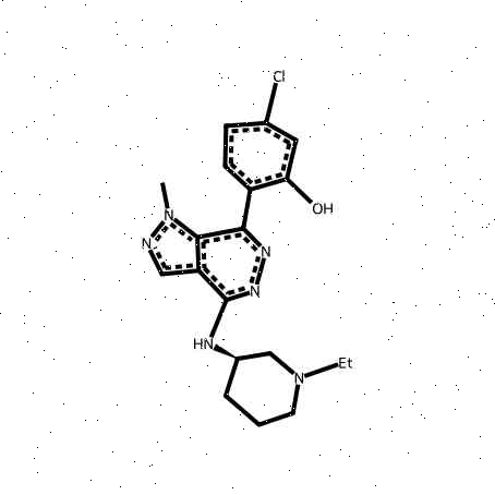 CCN1CCC[C@@H](Nc2nnc(-c3ccc(Cl)cc3O)c3c2cnn3C)C1